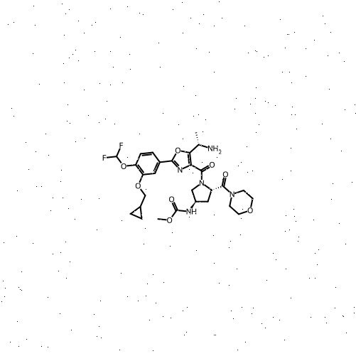 COC(=O)N[C@@H]1C[C@@H](C(=O)N2CCOCC2)N(C(=O)c2nc(-c3ccc(OC(F)F)c(OCC4CC4)c3)oc2[C@H](C)N)C1